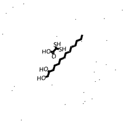 CCCCCCCCCCCCC(O)CO.O=C(O)C(S)S